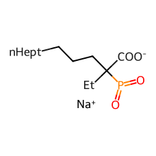 CCCCCCCCCCC(CC)(C(=O)[O-])P(=O)=O.[Na+]